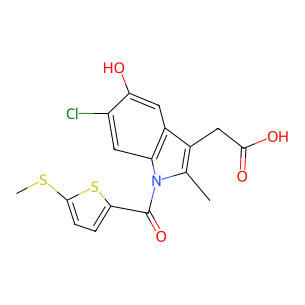 CSc1ccc(C(=O)n2c(C)c(CC(=O)O)c3cc(O)c(Cl)cc32)s1